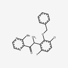 CC(C(=O)c1nccnc1C(C)(C)C)c1c(F)ccc(Cl)c1OCc1ccccc1